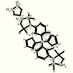 C1C[SiH2][SiH2]C1.CC1(C)C[SiH2][Si](C)(C)N1c1ccc(F)[c]([Ti]([C]2=CC=CC2)([C]2=CC=CC2)[c]2c(F)ccc(N3C(C)(C)C[SiH2][Si]3(C)C)c2F)c1F